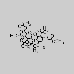 COC(=O)COc1cc(C)cc(O[C@@H]2O[C@H](COC(C)=O)[C@@H](OC(C)=O)[C@H](OC(C)=O)[C@H]2OC(C)=O)c1C(C)=O